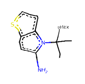 CCCCCCC(C)(C)n1c(N)cc2sccc21